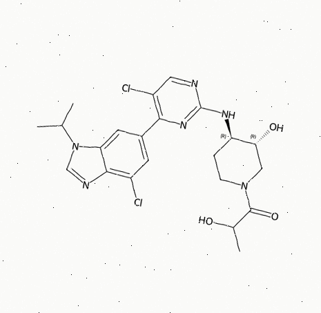 CC(O)C(=O)N1CC[C@@H](Nc2ncc(Cl)c(-c3cc(Cl)c4ncn(C(C)C)c4c3)n2)[C@H](O)C1